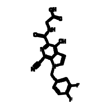 N#Cc1nc(C(=O)NCC(=O)O)c(O)c2ccn(Cc3ccc(F)c(F)c3)c12